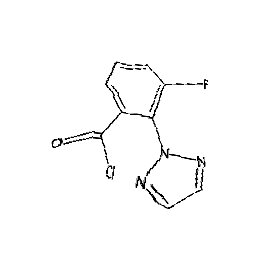 O=C(Cl)c1cccc(F)c1-n1nccn1